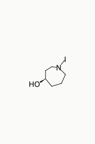 O[C@@H]1CCCN(I)CC1